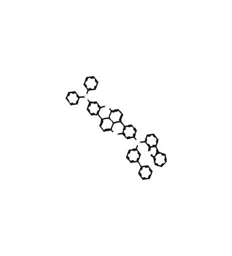 C1=C2Oc3cc(N(c4ccccc4)c4ccccc4)ccc3C3=CC=C4Oc5cc(N(c6cccc(-c7ccccc7)c6)c6cccc7c6oc6ccccc67)ccc5C(=C1)C4C23